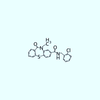 CCN1C(=O)c2ccccc2Sc2ccc(C(=O)NCc3ccccc3Cl)cc21